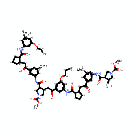 COc1cc(NC(=O)C2CN(C(=O)OC(C)(C)C)CC2C)cc(C(=O)CC2CCCC2C(=O)Nc2cc(OCCC(C)C)cc(C(=O)CC3CN(C(=O)OC(C)(C)C)CC3C(=O)Nc3cc(OC)cc(C(=O)CC4CCCC4C(=O)Nc4cc(OCCC(C)C)cc(C(=O)O)c4)c3)c2)c1